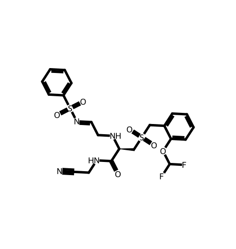 N#CCNC(=O)[C@H](CS(=O)(=O)Cc1ccccc1OC(F)F)NCC=NS(=O)(=O)c1ccccc1